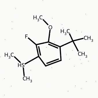 COc1c(C(C)(C)C)ccc([SH](C)C)c1F